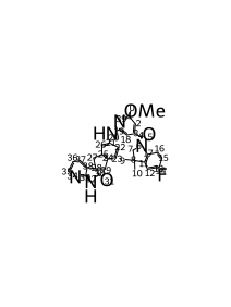 COc1cc(C(=O)N2CC(C)(C)c3cc(F)ccc32)cc(Nc2ccc3c(c2)CC2(C3)C(=O)Nc3ncccc32)n1